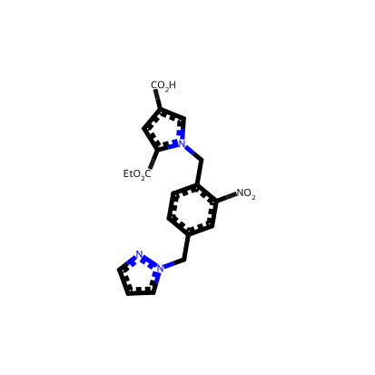 CCOC(=O)c1cc(C(=O)O)cn1Cc1ccc(Cn2cccn2)cc1[N+](=O)[O-]